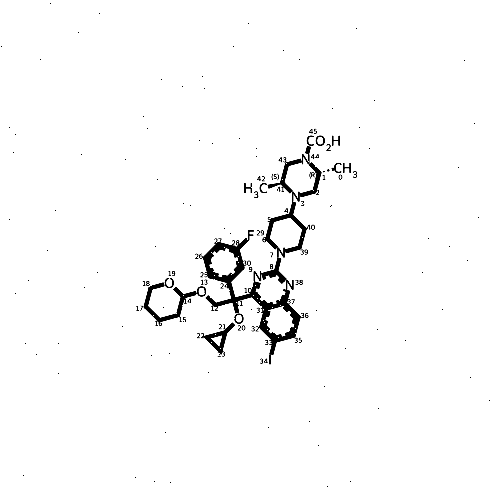 C[C@@H]1CN(C2CCN(c3nc(C(COC4CCCCO4)(OC4CC4)c4cccc(F)c4)c4cc(I)ccc4n3)CC2)[C@@H](C)CN1C(=O)O